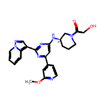 COc1cc(-c2cc(N[C@@H]3CCCN(C(=O)CO)C3)nc(-c3cnn4ccccc34)n2)ccn1